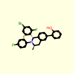 C[C@@H]1Cc2cc(-c3ccccc3O)ccc2[C@@H](c2c(F)cc(Br)cc2F)N1c1ccc(F)cc1